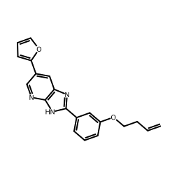 C=CCCOc1cccc(-c2nc3cc(-c4ccco4)cnc3[nH]2)c1